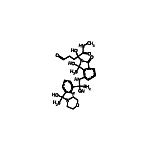 BC(O)(Nc1cccc2c1C(B)(O)N(C(O)(CCC=O)C(=O)NC)C2=O)c1cccc(C(B)(O)N2CCOCC2)c1F